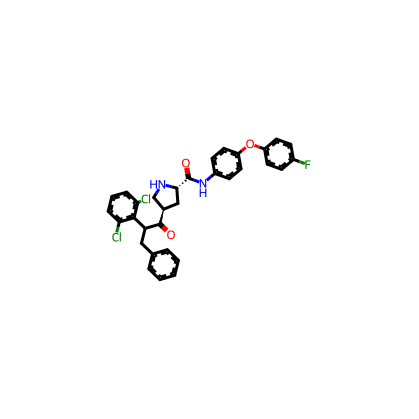 O=C(C(Cc1ccccc1)c1c(Cl)cccc1Cl)[C@H]1CN[C@H](C(=O)Nc2ccc(Oc3ccc(F)cc3)cc2)C1